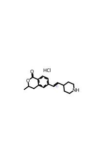 CC1Cc2cc(/C=C/C3CCNCC3)ccc2C(=O)O1.Cl